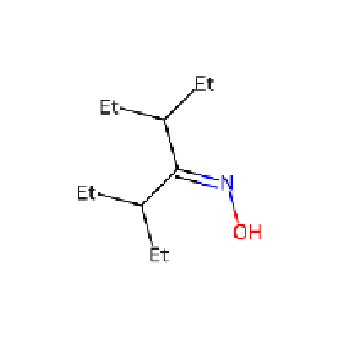 CCC(CC)C(=NO)C(CC)CC